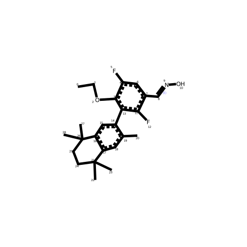 CCOc1c(F)cc(/C=N/O)c(F)c1-c1cc2c(cc1C)C(C)(C)CCC2(C)C